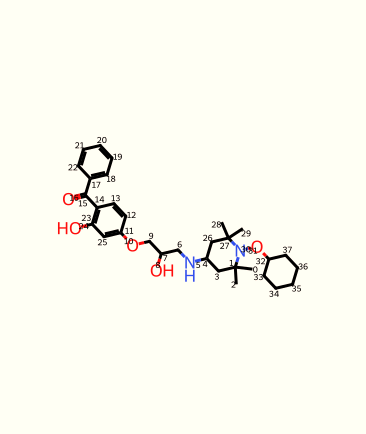 CC1(C)CC(NCC(O)COc2ccc(C(=O)c3ccccc3)c(O)c2)CC(C)(C)N1OC1CCCCC1